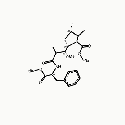 CO[C@H](C(C)C(=O)N[C@@H](Cc1ccccc1)C(=O)OC(C)(C)C)[C@@H]1C[C@H](C)C(C)N1C(=O)OC(C)(C)C